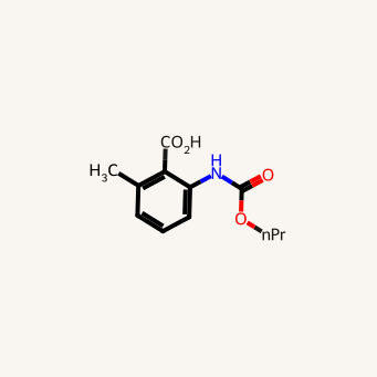 CCCOC(=O)Nc1cccc(C)c1C(=O)O